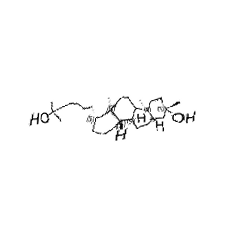 CC(C)(O)CCC[C@H]1CC[C@H]2[C@@H]3CC[C@H]4C[C@@](C)(O)CC[C@]4(C)C3CC[C@]12C